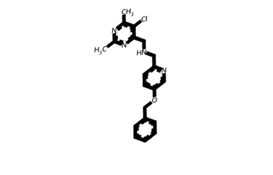 Cc1nc(C)c(Cl)c(CNCc2ccc(OCc3ccccc3)cn2)n1